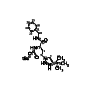 CC(C)(C)OC(=O)N[C@H](CCN1C=C(S(C)(C)C)NN1)C(=O)NCc1ccccc1